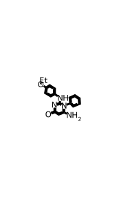 CCOc1ccc(Nc2nc(=O)cc(N)n2-c2ccccc2)cc1